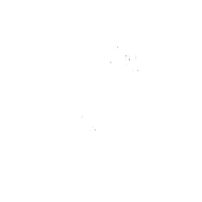 CCOc1cc(CCCCC2OC(=O)NC2=O)ccc1OCc1ccccc1